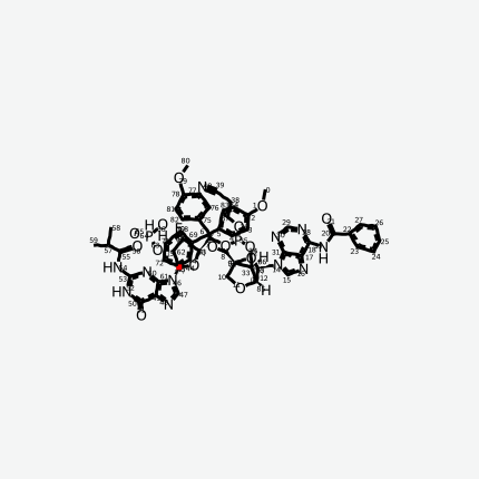 COc1ccc(C(OC[C@@]23CO[C@@H]([C@H](n4cnc5c(NC(=O)c6ccccc6)ncnc54)O2)[C@@H]3OP(OCCC#N)OC[C@H]2O[C@@H](n3cnc4c(=O)[nH]c(NC(=O)C(C)C)nc43)[C@H](O[PH](=O)O)[C@@H]2F)(c2ccccc2)c2ccc(OC)cc2)cc1